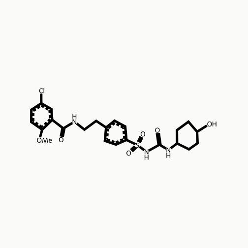 COc1ccc(Cl)cc1C(=O)NCCc1ccc(S(=O)(=O)NC(=O)NC2CCC(O)CC2)cc1